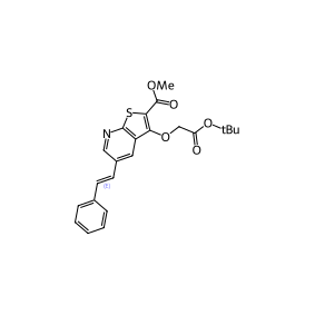 COC(=O)c1sc2ncc(/C=C/c3ccccc3)cc2c1OCC(=O)OC(C)(C)C